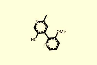 COc1cccnc1-c1cc(C)ncc1C#N